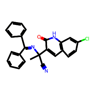 CC(C#N)(N=C(c1ccccc1)c1ccccc1)c1cc2ccc(Cl)cc2[nH]c1=O